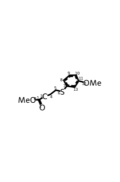 COC(=O)CCCSc1cccc(OC)c1